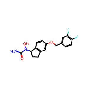 NC(=O)N(O)C1CCc2cc(OCc3ccc(F)c(F)c3)ccc21